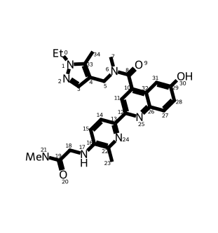 CCn1ncc(CN(C)C(=O)c2cc(-c3ccc(NCC(=O)NC)c(C)n3)nc3ccc(O)cc23)c1C